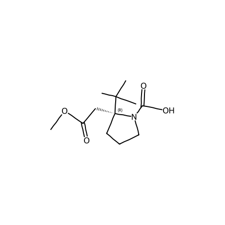 COC(=O)C[C@@]1(C(C)(C)C)CCCN1C(=O)O